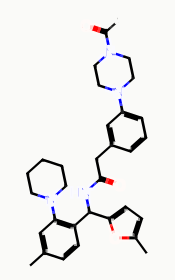 Cc1ccc(C(NC(=O)Cc2cccc(N3CCN(C(=O)C(F)(F)F)CC3)c2)c2ccc(C)o2)c(N2CCCCC2)c1